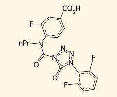 CCCN(C(=O)n1nnn(-c2c(F)cccc2F)c1=O)c1ccc(C(=O)O)cc1F